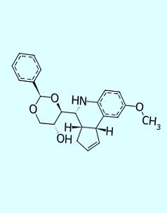 COc1ccc2c(c1)[C@@H]1C=CC[C@@H]1[C@H]([C@@H]1O[C@H](c3ccccc3)OC[C@H]1O)N2